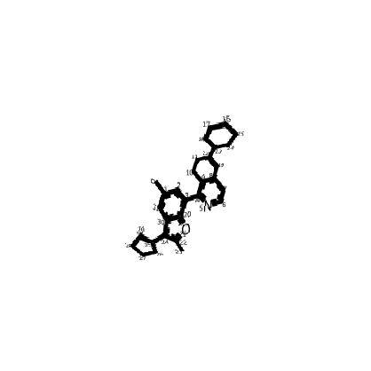 Cc1cc(-c2nccc3c2CCC(C2CCCCC2)=C3)c2oc(C)c(C3CCCC3)c2c1